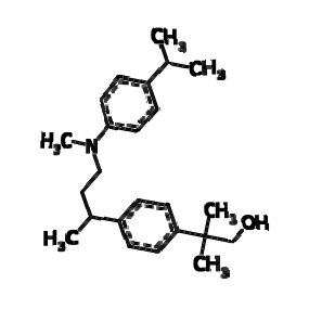 CC(C)c1ccc(N(C)CCC(C)c2ccc(C(C)(C)CO)cc2)cc1